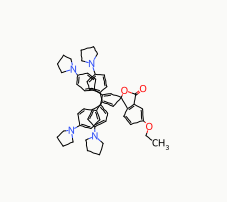 CCOc1ccc2c(c1)C(=O)OC2(C=C(c1ccc(N2CCCC2)cc1)c1ccc(N2CCCC2)cc1)C=C(c1ccc(N2CCCC2)cc1)c1ccc(N2CCCC2)cc1